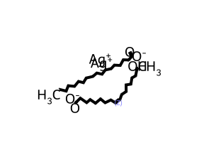 CCCCCCCC/C=C\CCCCCCCC(=O)[O-].CCCCCCCCCCCCCCCCC(O)C(=O)[O-].[Ag+].[Ag+]